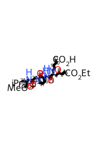 CCOC(=O)C=CCC[C@H](NC(=O)CCC(=O)O)C(=O)Nc1cccn(CC(=O)N[C@H](CC(C)C)C(=O)OC)c1=O